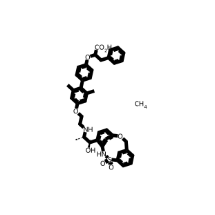 C.Cc1cc(OCCN[C@@H](C)[C@H](O)c2ccc3cc2NS(=O)(=O)c2cccc(c2)CO3)cc(C)c1-c1ccc(OC(Cc2ccccc2)C(=O)O)cc1